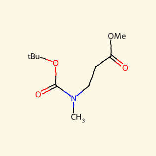 COC(=O)CCN(C)C(=O)OC(C)(C)C